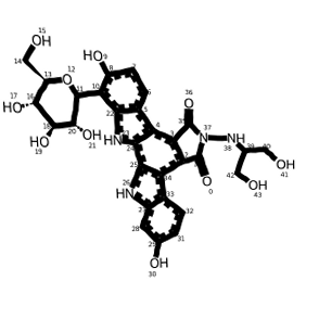 O=C1c2c(c3c4ccc(O)c(C5O[C@H](CO)[C@@H](O)[C@H](O)[C@H]5O)c4[nH]c3c3[nH]c4cc(O)ccc4c23)C(=O)N1NC(CO)CO